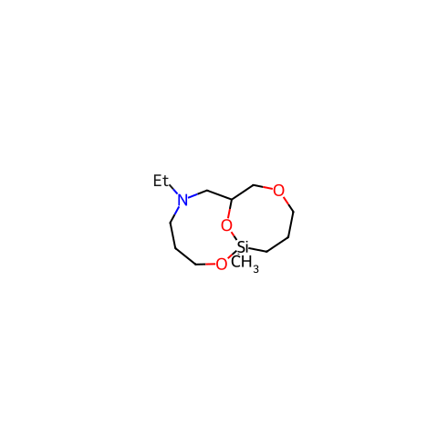 CCN1CCCO[Si]2(C)CCCOCC(C1)O2